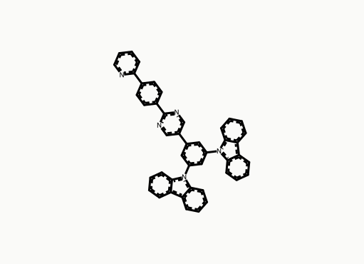 c1ccc(-c2ccc(-c3ncc(-c4cc(-n5c6ccccc6c6ccccc65)cc(-n5c6ccccc6c6ccccc65)c4)cn3)cc2)nc1